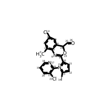 Cc1cc(Cl)cc2c1N=C(c1ccc(I)n1-c1ncccc1Cl)OC2C=O